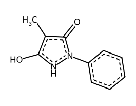 Cc1c(O)[nH]n(-c2ccccc2)c1=O